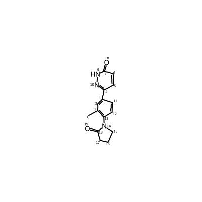 Cc1cc(-c2ccc(=O)[nH]n2)ccc1N1CCCC1=O